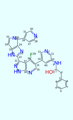 OC(Cc1ccccc1)Nc1cncc(-c2cnc3[nH]nc(-c4nc5c(-c6ccncc6)nccc5[nH]4)c3c2F)c1